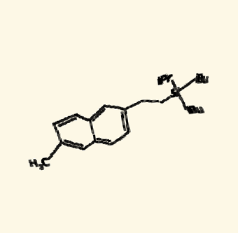 CCC(C)[Si](CCc1ccc2cc(C)ccc2c1)(C(C)C)C(C)CC